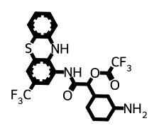 NC1CCCC(C(OC(=O)C(F)(F)F)C(=O)Nc2cc(C(F)(F)F)cc3c2Nc2ccccc2S3)C1